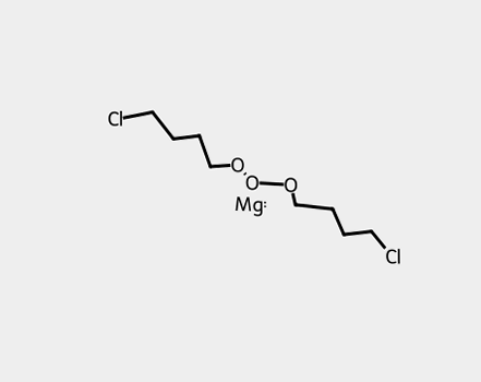 ClCCCCOOOCCCCCl.[Mg]